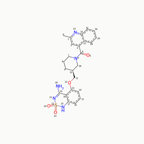 Cc1cc(C(=O)N2CCC[C@H](COc3cccc4c3C(N)=NS(=O)(=O)N4)C2)c2ccccc2n1